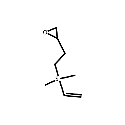 C=C[Si](C)(C)CCC1CO1